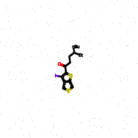 CCCCC(CC)CCC(=O)c1sc2cscc2c1I